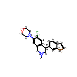 CN1Cc2cc(N3CCOCC3)c(F)cc2C(c2ccc3ccsc3c2)C1